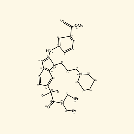 COC(=O)c1cccc(Nc2nc3ccc(C(C)(C)C(=O)N(CC(C)C)CC(C)C)cc3n2CCCN2CCCCC2)c1